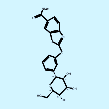 CNC(=O)c1ccc2nc(Oc3cccc([C@H]4O[C@H](CO)[C@@H](O)[C@H](O)[C@@H]4O)c3)sc2c1